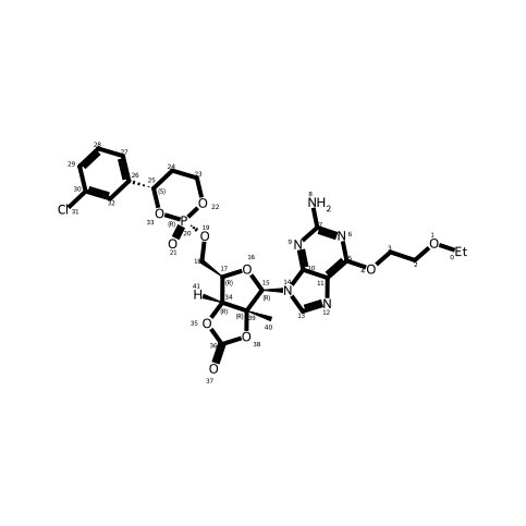 CCOCCOc1nc(N)nc2c1ncn2[C@@H]1O[C@H](CO[P@@]2(=O)OCC[C@@H](c3cccc(Cl)c3)O2)[C@H]2OC(=O)O[C@]21C